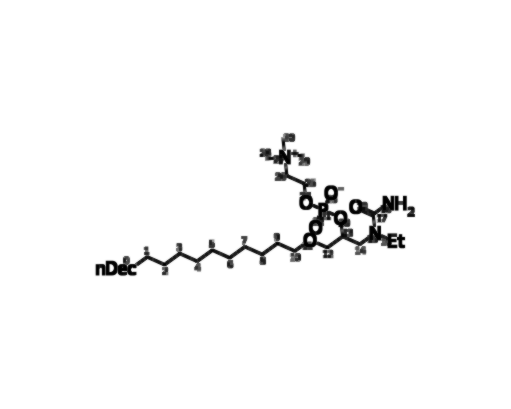 CCCCCCCCCCCCCCCCCCCCOCC(CN(CC)C(N)=O)OP(=O)([O-])OCC[N+](C)(C)C